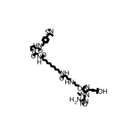 CCn1c(-c2nonc2N)nc2c(C#CC(C)(C)O)ncc(OCCCNCCCC(=O)NCCCCCCCCCC(=O)NCC(=O)N3CCC[C@H]3C(=O)NCc3ccc(-c4scnc4C)cc3)c21